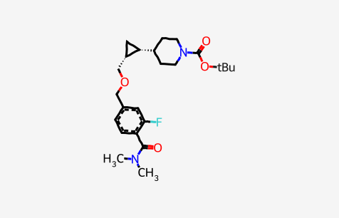 CN(C)C(=O)c1ccc(COC[C@@H]2C[C@@H]2C2CCN(C(=O)OC(C)(C)C)CC2)cc1F